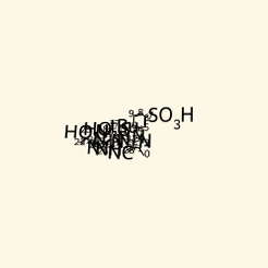 Cc1nn(-c2cc(S(=O)(=O)O)ccc2S(=O)(=O)O)c(/N=N/c2c(C(C)(C)C)nn3c(C(C)O)n[nH]c23)c1C#N